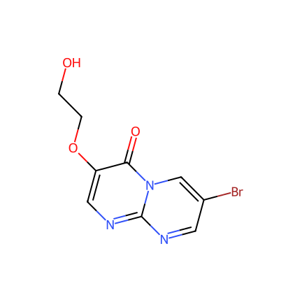 O=c1c(OCCO)cnc2ncc(Br)cn12